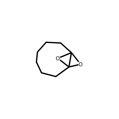 C1CCCC23OC2(CC1)O3